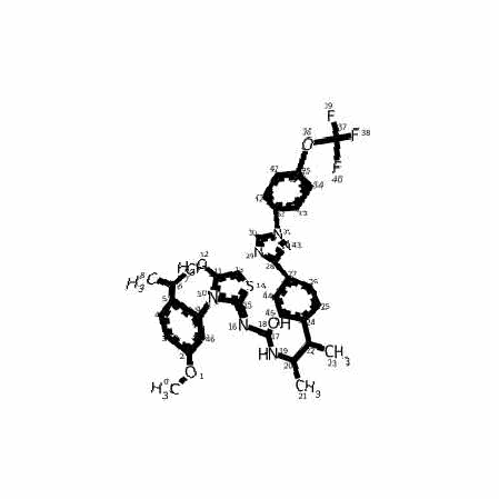 COc1ccc(C(C)C)c(-n2c(C)cs/c2=N\C(O)NC(C)C(C)c2ccc(-c3ncn(-c4ccc(OC(F)(F)F)cc4)n3)cc2)c1